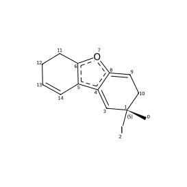 C[C@@]1(I)C=c2c3c(oc2=CC1)CCC=C3